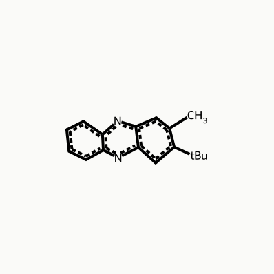 Cc1cc2nc3ccccc3nc2cc1C(C)(C)C